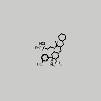 CCOC(=O)CCNC(=O)C(CC1CCCCC1)CN1CCC(C)(c2cccc(O)c2)C(C)C1.Cl